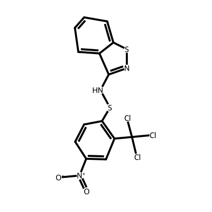 O=[N+]([O-])c1ccc(SNc2nsc3ccccc23)c(C(Cl)(Cl)Cl)c1